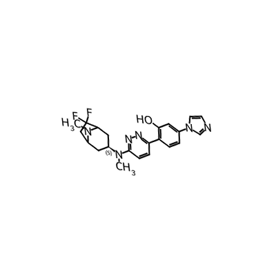 CN1C2C[C@H](N(C)c3ccc(-c4ccc(-n5ccnc5)cc4O)nn3)CC1C(F)(F)C2